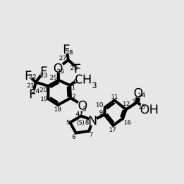 Cc1c(O[C@H]2CCCN2c2ccc(C(=O)O)cc2)ccc(C(F)(F)F)c1OC(F)F